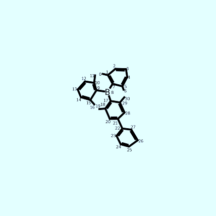 Cc1cccc(C)c1B(c1c(C)cccc1C)c1c(C)cc(-c2ccccc2)cc1C